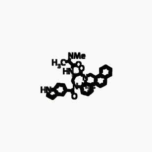 CNC(C)C(=O)N[C@H]1CN(C(=O)c2ccc3[nH]ccc3c2)c2ccccc2N(Cc2c(C)ccc3ccccc23)C1=O